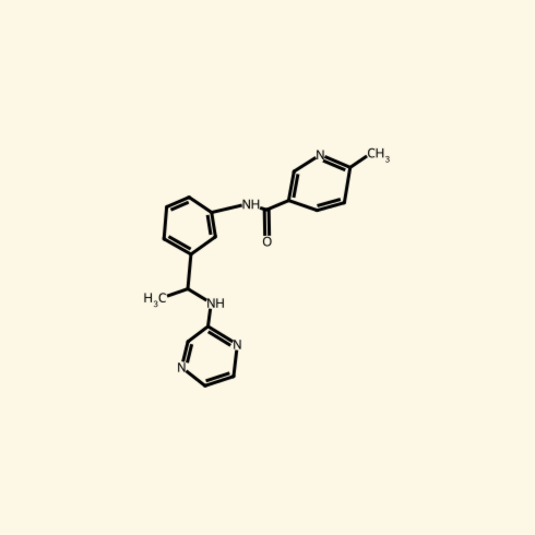 Cc1ccc(C(=O)Nc2cccc(C(C)Nc3cnccn3)c2)cn1